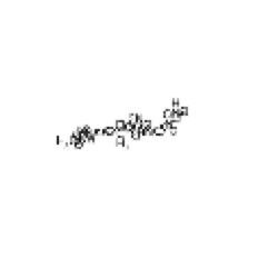 CC(C)(c1ccc(OCc2ccnc(NS(C)(=O)=O)n2)cc1)c1cc(Cl)c(OCC(=O)Nc2ccc3c(c2)CN(C2CCC(=O)NC2=O)C3=O)c(C#N)c1